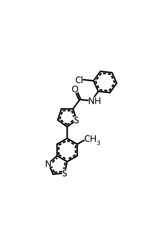 Cc1cc2scnc2cc1-c1ccc(C(=O)Nc2ccccc2Cl)s1